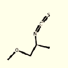 COC[C@H](C)N=C=S